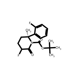 CC(C)(C)OC(=O)N1C(=O)C(F)CC[C@@]1(C)c1ccccc1F